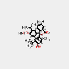 Cc1cc(O)c(C(C)C)cc1C1(c2cc(C(C)C)c(O)cc2C)OC(=O)c2ccccc21.[NaH].[NaH]